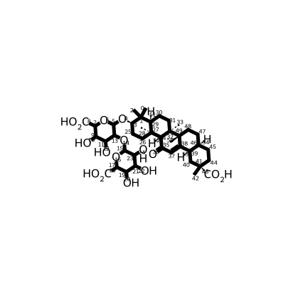 CC1(C)[C@@H](OC2OC(C(=O)O)C(O)C(O)C2OC2OC(C(=O)O)C(O)C(O)C2O)CC[C@@]2(C)[C@@H]1CC[C@]1(C)[C@H]2C(=O)C=C2[C@@H]3C[C@@](C)(C(=O)O)CC[C@@H]3CC[C@]21C